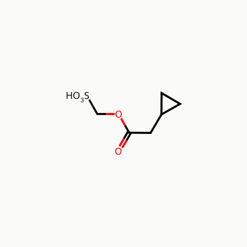 O=C(CC1CC1)OCS(=O)(=O)O